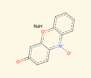 O=c1ccc2[n+]([O-])c3ccccc3oc-2c1.[NaH]